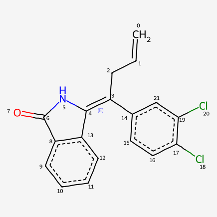 C=CC/C(=C1\NC(=O)c2ccccc21)c1ccc(Cl)c(Cl)c1